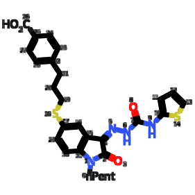 CCCCCN1C(=O)C(=NNC(=O)Nc2cccs2)c2cc(SCCCc3ccc(C(=O)O)cc3)ccc21